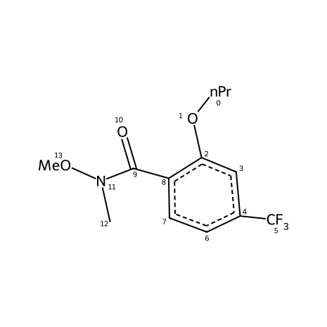 CCCOc1cc(C(F)(F)F)ccc1C(=O)N(C)OC